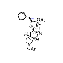 CC(=O)O[C@@H]1CC[C@@H]2C[C@H]3[C@@H](CC[C@@]4(C)[C@H](OC(C)=O)/C(=C/c5ccccc5)C[C@H]34)C[C@H]2C1